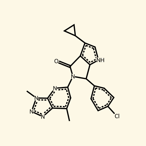 Cc1cc(N2C(=O)c3c(C4CC4)c[nH]c3C2c2ccc(Cl)cc2)nc2c1nnn2C